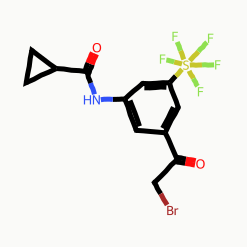 O=C(CBr)c1cc(NC(=O)C2CC2)cc(S(F)(F)(F)(F)F)c1